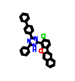 Clc1ccc2c(oc3cc4ccccc4cc32)c1C1N=C(c2ccc(-c3ccccc3)cc2)N=C(c2ccccc2)N1